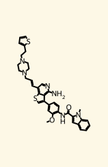 COc1cc(-c2csc3c(C=CCN4CCN(CCc5cccs5)CC4)cnc(N)c23)ccc1NC(=O)c1cc2ccccc2n1C